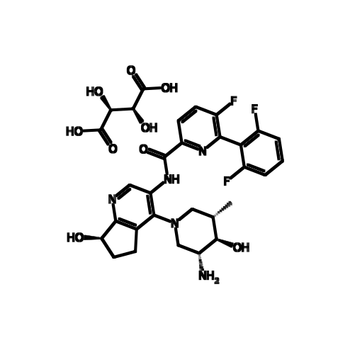 C[C@H]1CN(c2c(NC(=O)c3ccc(F)c(-c4c(F)cccc4F)n3)cnc3c2CC[C@H]3O)C[C@@H](N)[C@@H]1O.O=C(O)[C@@H](O)[C@H](O)C(=O)O